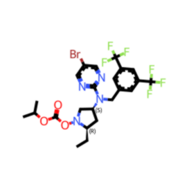 CC[C@@H]1C[C@H](N(Cc2cc(C(F)(F)F)cc(C(F)(F)F)c2)c2ncc(Br)cn2)CN1OC(=O)OC(C)C